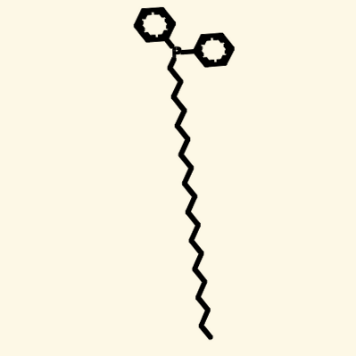 CCCCCCCCCCCCCCCCCCCCP(c1ccccc1)c1ccccc1